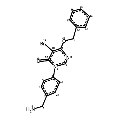 NCc1ccc(-n2cnc(OCc3ccccc3)c(Br)c2=O)cc1